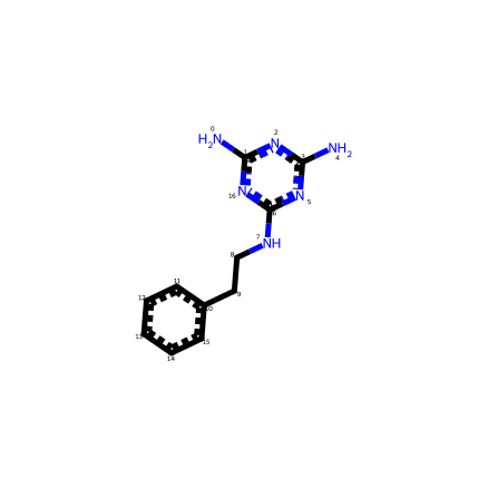 Nc1nc(N)nc(NCCc2ccccc2)n1